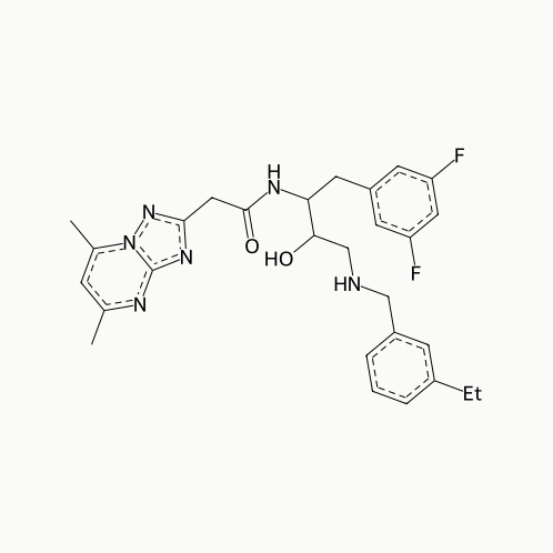 CCc1cccc(CNCC(O)C(Cc2cc(F)cc(F)c2)NC(=O)Cc2nc3nc(C)cc(C)n3n2)c1